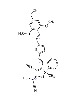 COc1cc(CO)cc(OC)c1/C=C/c1ccc(/C=C/C2=C(C#N)C(=C(\C)C#N)/OC2(C)c2ccccc2)s1